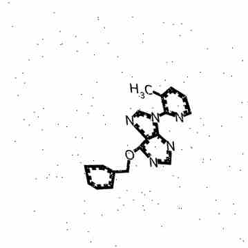 Cc1cccnc1-n1cnc2c(OCc3ccccc3)ncnc21